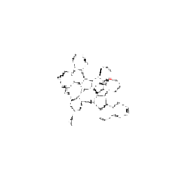 N#Cc1cc(C#N)c(-n2c3ccc4ccccc4c3c3c4ccccc4c4ccccc4c32)c(-n2c3ccc4ccccc4c3c3c4ccccc4ccc32)c1